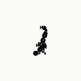 N=C(c1ccc(Oc2ccccc2)cc1)c1c(N)ncnc1NC1CCN(C2CCC3(CC2)CN(CC2CNC2)C3)CC1